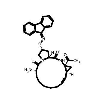 CC(=O)[C@@]12C[C@H]1/C=C\CCCCC[C@H](N)C(=O)N1C[C@H](ON=C3c4ccccc4-c4ccccc43)C[C@H]1C(=O)N2